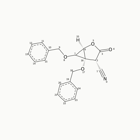 N#C[C@H]1C(=O)O[C@@H]2C(OCc3ccccc3)[C@@]21OCc1ccccc1